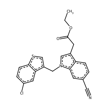 CCOC(=O)Cc1cn(Cc2csc3ccc(Cl)cc23)c2cc(C#N)ccc12